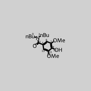 CCCCN(CCCC)C(=O)c1cc(OC)c(O)c(OC)c1